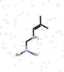 CCC(C)N(C[SiH2]C=C(C)C)C(C)CC